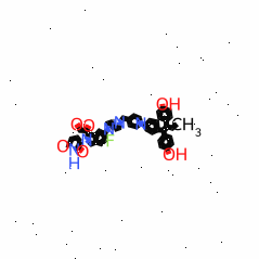 CCC(=C(c1ccc(O)cc1)c1ccc(N2CCC(CN3CC4CC3CN4c3cc4c(cc3F)CN(C3CCC(=O)NC3=O)C4C(=O)C=O)CC2)cc1)c1ccc(O)cc1